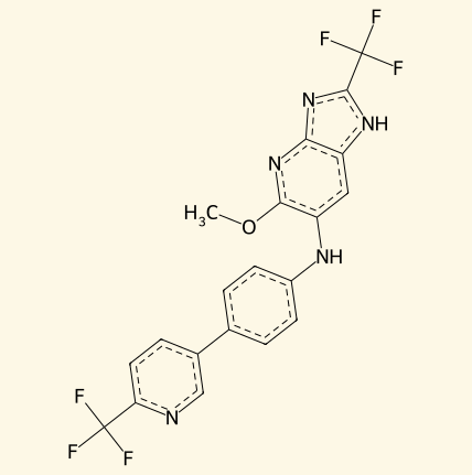 COc1nc2nc(C(F)(F)F)[nH]c2cc1Nc1ccc(-c2ccc(C(F)(F)F)nc2)cc1